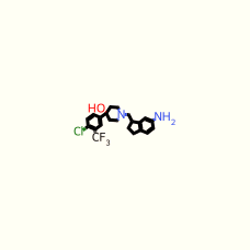 Nc1ccc2c(c1)C(CN1CCC(O)(c3ccc(Cl)c(C(F)(F)F)c3)CC1)CC2